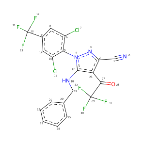 N#Cc1nn(-c2c(Cl)cc(C(F)(F)F)cc2Cl)c(NCc2ccccc2)c1C(=O)C(F)(F)F